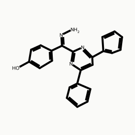 NN=C(c1ccc(O)cc1)c1nc(-c2ccccc2)cc(-c2ccccc2)n1